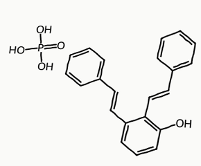 O=P(O)(O)O.Oc1cccc(C=Cc2ccccc2)c1C=Cc1ccccc1